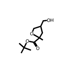 CC(C)(C)OC(=O)C1(C)CC(CO)CO1